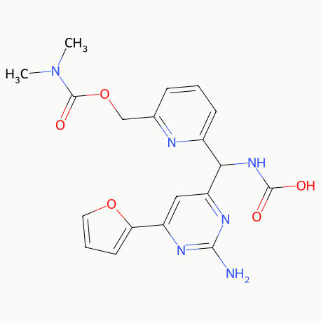 CN(C)C(=O)OCc1cccc(C(NC(=O)O)c2cc(-c3ccco3)nc(N)n2)n1